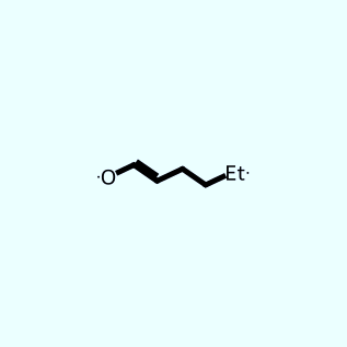 C[CH]CCC=C[O]